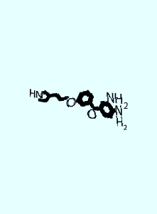 Nc1ccc(C(=O)c2cccc(OCCCC3CCNC3)c2)cc1N